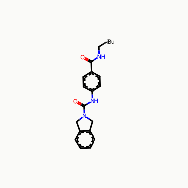 CCC(C)CNC(=O)c1ccc(NC(=O)N2Cc3ccccc3C2)cc1